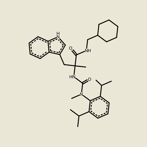 CC(C)c1cccc(C(C)C)c1N(C)C(=O)NC(C)(Cc1c[nH]c2ccccc12)C(=O)NCC1CCCCC1